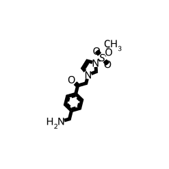 COS(=O)(=O)N1C=CN(CC(=O)c2ccc(CN)cc2)C1